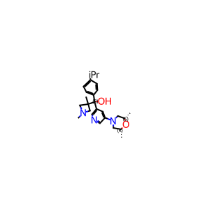 CC(C)c1ccc([C@](O)(c2cncc(N3C[C@@H](C)O[C@@H](C)C3)c2)C2(C)CN(C)C2)cc1